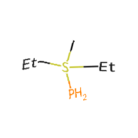 CCS(C)(P)CC